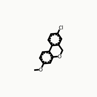 COc1ccc2c(c1)OCc1cc(Cl)ccc1-2